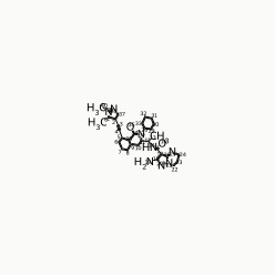 Cc1c(C#Cc2cccc3cc([C@@H](C)NC(=O)c4c(N)nn5cccnc45)n(-c4ccccc4)c(=O)c23)cnn1C